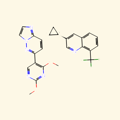 COc1ncc(-c2cc([C@@H]3C[C@H]3c3cnc4c(C(F)(F)F)cccc4c3)c3nccn3n2)c(OC)n1